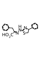 O=C(O)/C(Cc1ccccc1)=N/NC1=NC(c2ccccc2)CS1